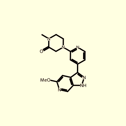 COc1cc2c(-c3ccnc(N4CCN(C)C(=O)C4)c3)n[nH]c2cn1